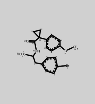 O=C(O)C(Cc1ccc(Br)cc1)NC(=O)C1(c2ccc(OC(F)(F)F)cc2)CC1